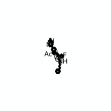 CC(=O)c1cn(CC(=O)N2C[C@H](F)C[C@H]2C(=O)NCCCCc2ccccc2)c2ccc(-c3cnc4cc(C)nn4c3)cc12